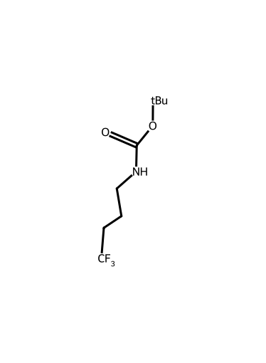 CC(C)(C)OC(=O)NCCCC(F)(F)F